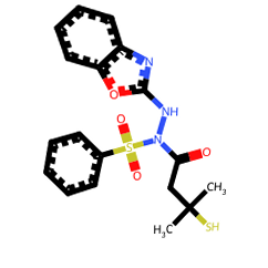 CC(C)(S)CC(=O)N(Nc1nc2ccccc2o1)S(=O)(=O)c1ccccc1